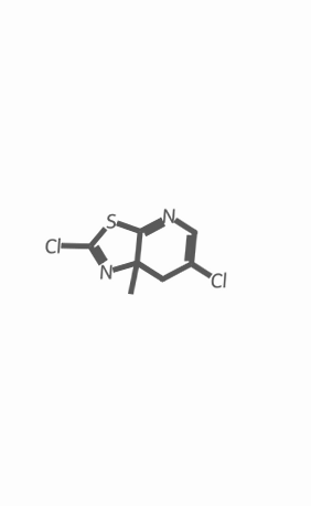 CC12CC(Cl)=CN=C1SC(Cl)=N2